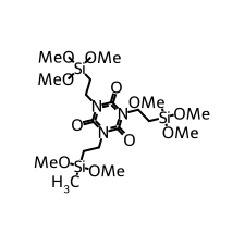 CO[Si](C)(CCn1c(=O)n(CC[Si](OC)(OC)OC)c(=O)n(CC[Si](OC)(OC)OC)c1=O)OC